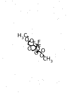 CCOC(=O)CC1CC(OC(=O)C(=O)OCC)(C(F)(F)F)CCO1